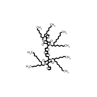 CCCCCCCCC(CCCCCC)CN1C(=O)C2=C(c3cc4sc5cc(C6=C7C(=O)N(CC(CCCCCC)CCCCCCCC)C(c8cccs8)=C7C(=O)N6CC(CCCCCC)CCCCCCCC)sc5c4s3)N(CC(CCCCCC)CCCCCCCC)C(=O)C2=C1c1cccs1